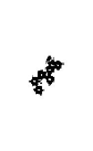 c1ccc(-c2cccc3c2sc2c(-c4ccccc4-c4ccc5c(c4)c4ccccc4c4nccnc54)cccc23)cc1